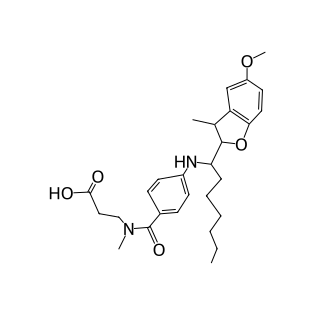 CCCCCCC(Nc1ccc(C(=O)N(C)CCC(=O)O)cc1)C1Oc2ccc(OC)cc2C1C